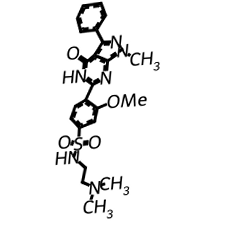 COc1cc(S(=O)(=O)NCCN(C)C)ccc1-c1nc2c(c(-c3ccccc3)nn2C)c(=O)[nH]1